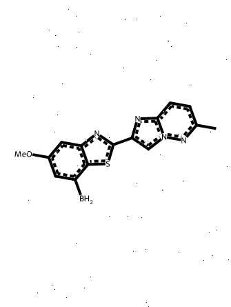 Bc1cc(OC)cc2nc(-c3cn4nc(C)ccc4n3)sc12